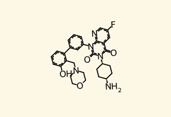 N[C@H]1CC[C@@H](n2c(=O)c3cc(F)cnc3n(-c3cccc(-c4cccc(O)c4CN4CCOCC4)c3)c2=O)CC1